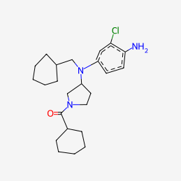 Nc1ccc(N(CC2CCCCC2)C2CCN(C(=O)C3CCCCC3)C2)cc1Cl